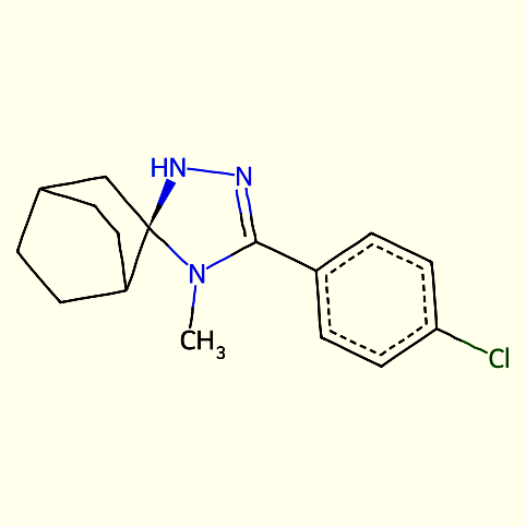 CN1C(c2ccc(Cl)cc2)=NN[C@@]12CC1CCC2CC1